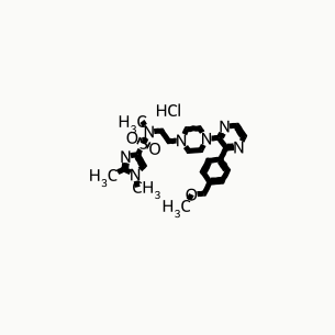 COCc1ccc(-c2nccnc2N2CCN(CCN(C)S(=O)(=O)c3cn(C)c(C)n3)CC2)cc1.Cl